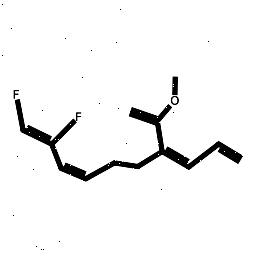 C=C/C=C(/CC/C=C\C(F)=C\F)C(=C)OC